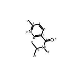 Cc1ccc(C(=O)N(C)C(C)C)cn1